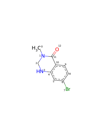 CN1CNc2cc(Br)ccc2C1=O